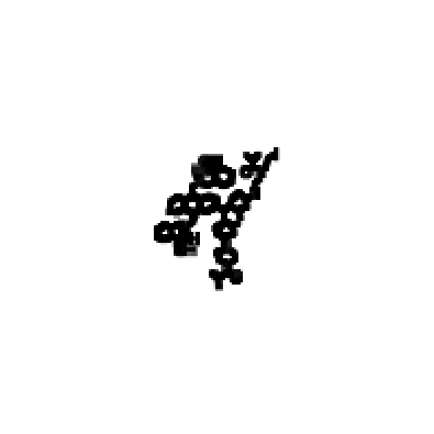 C=C(C)C(=O)N(CCI)CC/N=C1C=C/C(=C(\c2ccc3c(CN(C)Cc4ccccc4BO)c4ccccc4c(CN(C)Cc4ccccc4B(O)O)c3c2)c2ccc(N3CCN(C(=O)C(=C)C)CC3)cc2C)C(C)=C\1